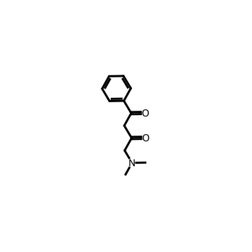 CN(C)CC(=O)CC(=O)c1ccccc1